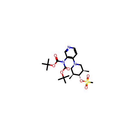 C[C@@H]1CN(c2ccncc2N(C(=O)OC(C)(C)C)C(=O)OC(C)(C)C)C[C@H](C)[C@H]1OS(C)(=O)=O